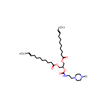 CCCCCCCCC=CCCCCCCCC(=O)OCC(COC(=O)CCCCCCCC=CCCCCCCCC)OC(=O)NCCN1CCN(CC)CC1